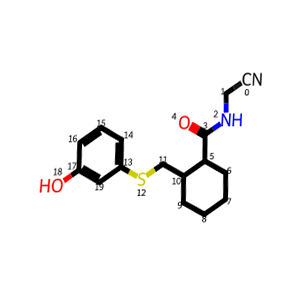 N#CCNC(=O)C1CCCCC1CSc1cccc(O)c1